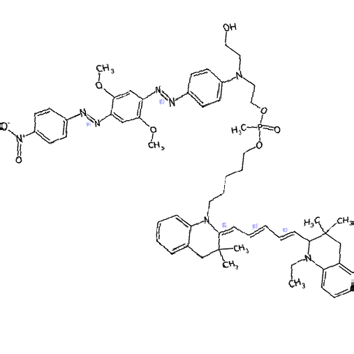 CCN1c2ccccc2CC(C)(C)C1/C=C/C=C/C=C1/N(CCCCCOP(C)(=O)OCCN(CCO)c2ccc(/N=N/c3cc(OC)c(/N=N/c4ccc([N+](=O)[O-])cc4)cc3OC)cc2)c2ccccc2CC1(C)C